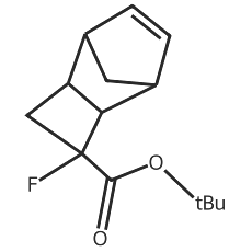 CC(C)(C)OC(=O)C1(F)CC2C3C=CC(C3)C21